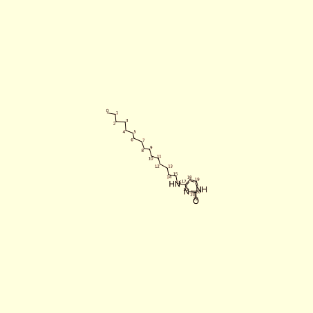 CCCCCCCCCCCCCCCCNc1cc[nH]c(=O)n1